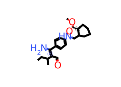 CCC(C)/C(C=O)=C(\N)c1ccc(NCC2CCCC[C@@H]2C(=O)OC)cc1